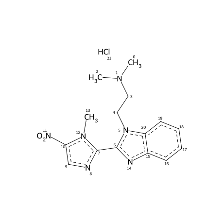 CN(C)CCn1c(-c2ncc([N+](=O)[O-])n2C)nc2ccccc21.Cl